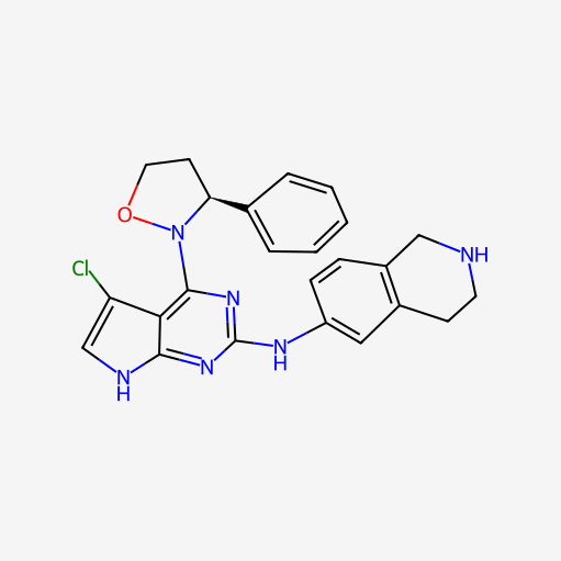 Clc1c[nH]c2nc(Nc3ccc4c(c3)CCNC4)nc(N3OCC[C@H]3c3ccccc3)c12